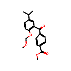 COCOc1ccc(C(C)C)cc1C(=O)c1ccc(C(=O)OC)cc1